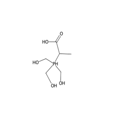 CC(C(=O)O)[PH](CO)(CO)CO